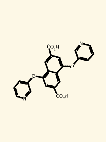 O=C(O)c1cc(Oc2cccnc2)c2cc(C(=O)O)cc(Oc3cccnc3)c2c1